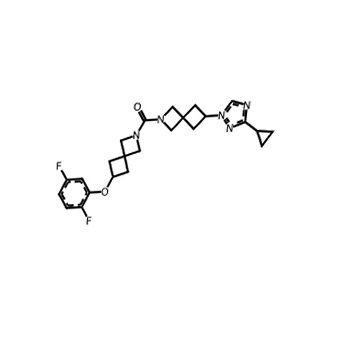 O=C(N1CC2(CC(Oc3cc(F)ccc3F)C2)C1)N1CC2(CC(n3cnc(C4CC4)n3)C2)C1